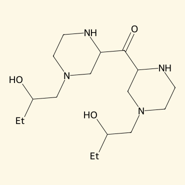 CCC(O)CN1CCNC(C(=O)C2CN(CC(O)CC)CCN2)C1